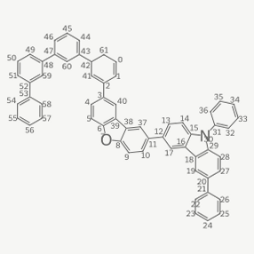 C1=CC(c2ccc3oc4ccc(-c5ccc6c(c5)c5cc(-c7ccccc7)ccc5n6-c5ccccc5)cc4c3c2)=CC(c2cccc(-c3cccc(-c4ccccc4)c3)c2)C1